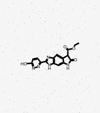 CCOC(=O)C1C(=O)Nc2cc3[nH]c(-c4ccc(O)nn4)nc3cc21